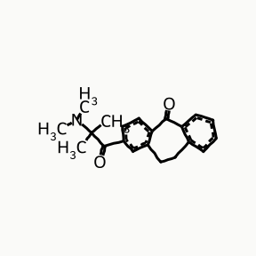 CN(C)C(C)(C)C(=O)c1ccc2c(c1)CCc1ccccc1C2=O